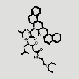 CCN(CC)CCNC(=O)CC(O)C(CC(C)C)NC(=O)[C@H](CC(C)C)NC(=O)C(Cc1cccc2ccccc12)Cc1cccc2ccccc12